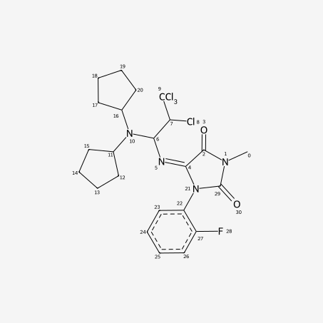 CN1C(=O)C(=NC(C(Cl)C(Cl)(Cl)Cl)N(C2CCCC2)C2CCCC2)N(c2ccccc2F)C1=O